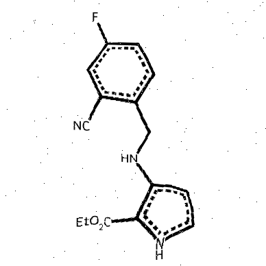 CCOC(=O)c1[nH]ccc1NCc1ccc(F)cc1C#N